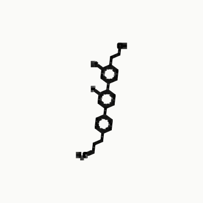 C=CCCc1ccc(-c2ccc(-c3ccc(CCO)c(CC)c3)c(F)c2)cc1